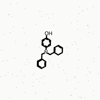 Oc1ccc(N(CC2=C=C=CC=C2)CC2=CC=CCC2)cc1